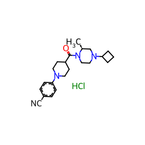 C[C@H]1CN(C2CCC2)CCN1C(=O)C1CCN(c2ccc(C#N)cc2)CC1.Cl